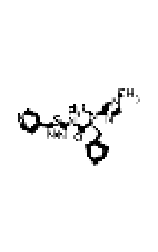 CN(c1cn(C)cn1)[C@@H](Cc1ccccc1)C(=O)Nc1nnc(-c2ccncc2)s1